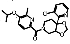 Cc1nc(C(=O)N2CC[C@]3(c4ncccc4Cl)OCOC3C2)ccc1OC(C)C